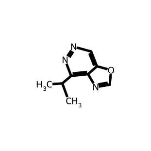 CC(C)c1nncc2ocnc12